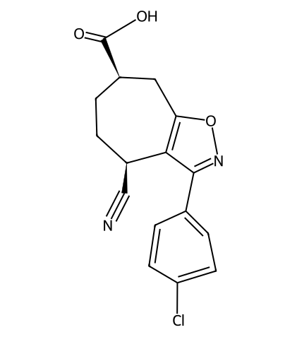 N#C[C@H]1CC[C@@H](C(=O)O)Cc2onc(-c3ccc(Cl)cc3)c21